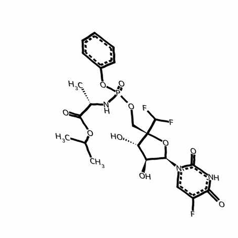 CC(C)OC(=O)[C@H](C)NP(=O)(OC[C@@]1(C(F)F)O[C@@H](n2cc(F)c(=O)[nH]c2=O)[C@@H](O)[C@@H]1O)Oc1ccccc1